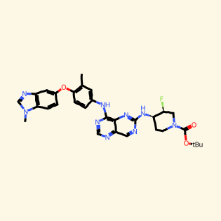 Cc1cc(Nc2ncnc3cnc(N[C@@H]4CCN(C(=O)OC(C)(C)C)C[C@@H]4F)nc23)ccc1Oc1ccc2c(c1)ncn2C